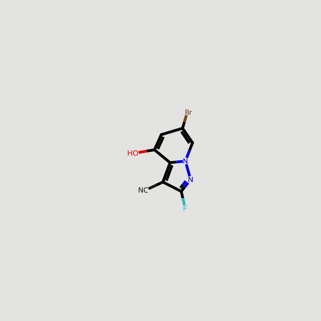 N#Cc1c(F)nn2cc(Br)cc(O)c12